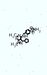 Cc1nc(NCc2ccc(S(N)(=O)=O)cc2)c2c(C3CCCC3)nn(C)c2n1